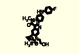 CNC(=O)c1c2cc(C3CC3)c(N(CCO)S(C)(=O)=O)cc2nn1-c1ccc(Nc2ccc(F)cc2)cc1